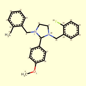 COc1ccc(C2N(Cc3ccccc3C)CCN2Cc2ccccc2F)cc1